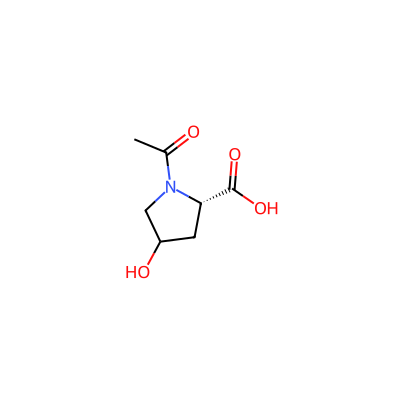 CC(=O)N1CC(O)C[C@H]1C(=O)O